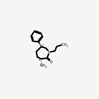 CCCN1C[C@H](c2ccccc2)CC[C@@H](N)C1=O